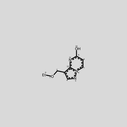 CCOCc1cnn2ccc(O)nc12